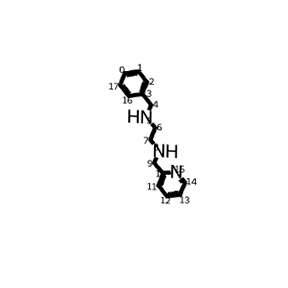 c1ccc(CNCCNCc2ccccn2)cc1